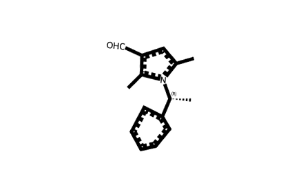 Cc1cc(C=O)c(C)n1[C@H](C)c1ccccc1